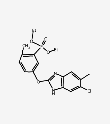 CCOP(=O)(OCC)c1cc(Oc2nc3cc(I)c(Cl)cc3[nH]2)ccc1C